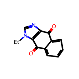 CCn1cnc2c1C(=O)c1ccccc1C2=O